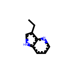 CCc1c[nH]c2cccnc12